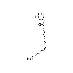 O=C(CCCCCCCC/C=C\CCCCCO)OC(CO)CO